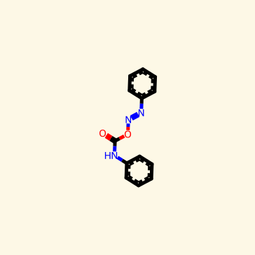 O=C(Nc1ccccc1)ON=Nc1ccccc1